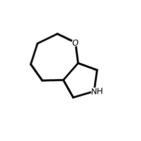 C1CCC2CNCC2OC1